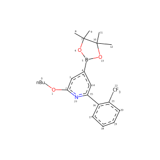 CCCCOc1cc(B2OC(C)(C)C(C)(C)O2)cc(-c2ccccc2C(F)(F)F)n1